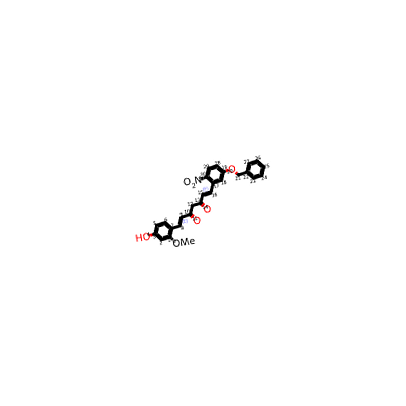 COc1cc(O)ccc1/C=C/C(=O)CC(=O)/C=C/c1cc(OCc2ccccc2)ccc1[N+](=O)[O-]